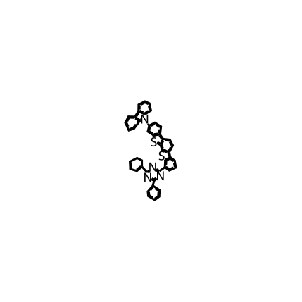 C1=CCCC(c2nc(-c3ccccc3)nc(-c3cccc4c3sc3c4ccc4c5ccc(-n6c7ccccc7c7ccccc76)cc5sc43)n2)=C1